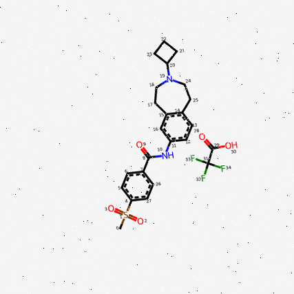 CS(=O)(=O)c1ccc(C(=O)Nc2ccc3c(c2)CCN(C2CCC2)CC3)cc1.O=C(O)C(F)(F)F